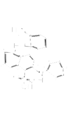 Nc1ccccc1O.O=S(=O)(O)c1c(Nc2ccccc2)ccc2ccccc12